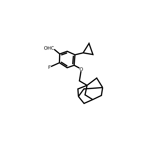 O=Cc1cc(C2CC2)c(OCC23CC4CC(CC(C4)C2)C3)cc1F